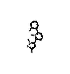 Cc1cc(-c2cccc(-c3ccccc3C)[n+]2C)n(C)n1